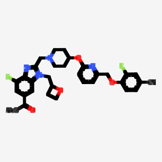 COC(=O)c1cc(F)c2nc(CN3CCC(Oc4cccc(COc5ccc(C#N)cc5F)n4)CC3)n(CC3CCO3)c2c1